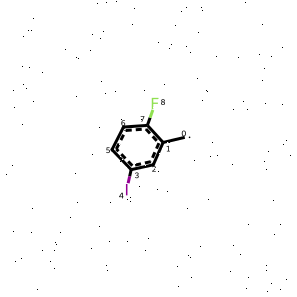 [CH2]c1cc(I)ccc1F